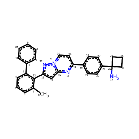 Cc1cccc(-c2ccccc2)c1-c1cc2nc(-c3ccc(C4(N)CCC4)cc3)ccn2n1